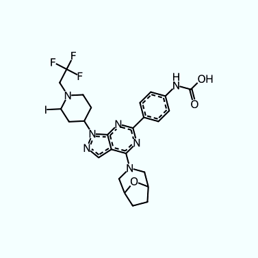 O=C(O)Nc1ccc(-c2nc(N3CC4CCC(C3)O4)c3cnn(C4CCN(CC(F)(F)F)C(I)C4)c3n2)cc1